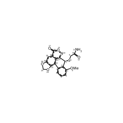 COc1cccc2c1[C@H](SCC(N)=O)c1noc(=O)c3cc4c(c-2c13)OCO4